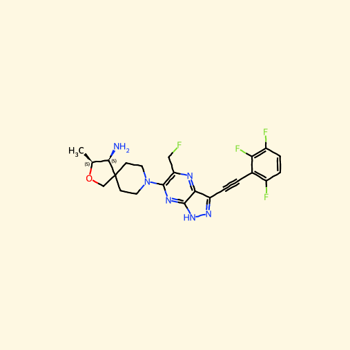 C[C@@H]1OCC2(CCN(c3nc4[nH]nc(C#Cc5c(F)ccc(F)c5F)c4nc3CF)CC2)[C@@H]1N